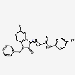 O=C1/C(=N\NC(=S)Nc2ccc(Br)cc2)c2cc(F)ccc2N1Cc1ccccc1